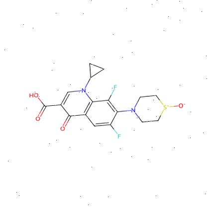 O=C(O)c1cn(C2CC2)c2c(F)c(N3CC[S+]([O-])CC3)c(F)cc2c1=O